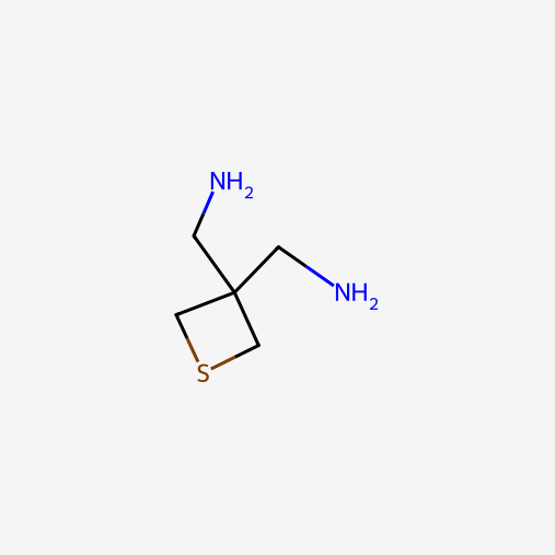 NCC1(CN)CSC1